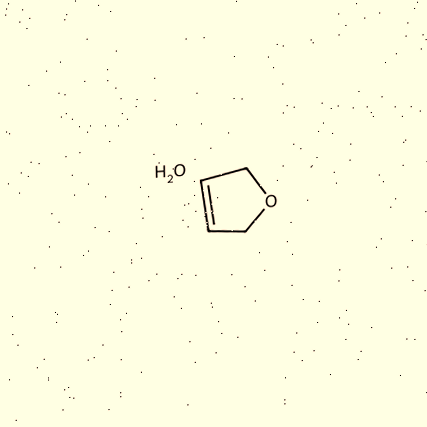 C1=CCOC1.O